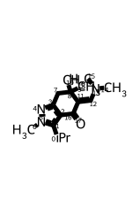 CC(C)c1c2c(nn1C)CC(C)(C)/C(=C\N(C)C)C2=O